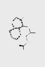 CC(CNC(=O)O)Nc1c(N)cnc2ccccc12